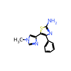 Cn1cnc(-c2sc(N)nc2-c2ccccc2)c1